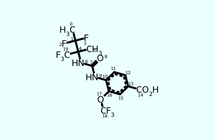 CC(F)(F)C(C)(NC(=O)Nc1ccc(C(=O)O)cc1OC(F)(F)F)C(F)(F)F